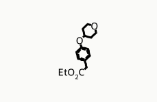 CCOC(=O)Cc1ccc(OC2CCOCC2)cc1